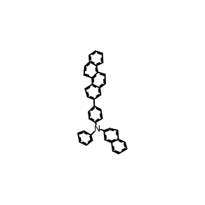 c1ccc(N(c2ccc(-c3ccc4c(ccc5c6ccccc6ccc45)c3)cc2)c2ccc3ccccc3c2)cc1